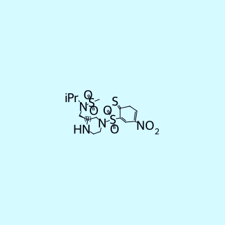 CC(C)N(C[C@H]1CN(S(=O)(=O)C2=CC([N+](=O)[O-])=CCC2=S)CCN1)S(C)(=O)=O